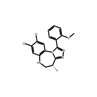 COc1ccccc1-c1nnc2n1-c1cc(Cl)c(Cl)cc1NC[C@H]2C